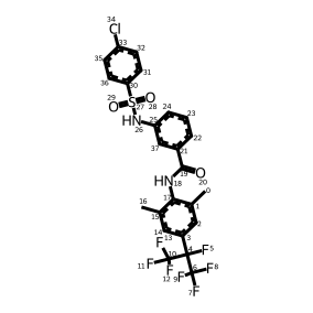 Cc1cc(C(F)(C(F)(F)F)C(F)(F)F)cc(C)c1NC(=O)c1cccc(NS(=O)(=O)c2ccc(Cl)cc2)c1